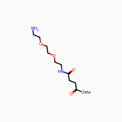 COC(=O)CCC(=O)NCCOCCOCCN